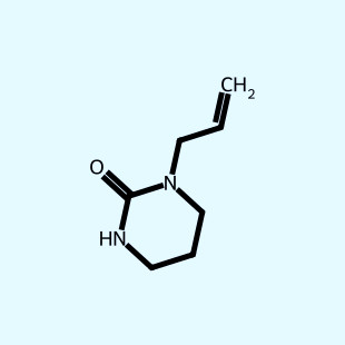 C=CCN1CCCNC1=O